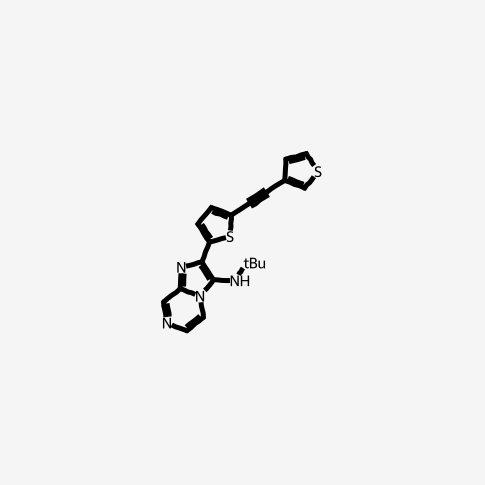 CC(C)(C)Nc1c(-c2ccc(C#Cc3ccsc3)s2)nc2cnccn12